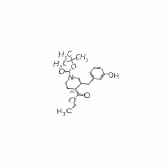 CCOC(=O)[C@H]1CCN(C(=O)OC(C)(C)C)CC1Cc1cccc(O)c1